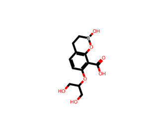 O=C(O)c1c(OC(CO)CO)ccc2c1OB(O)CC2